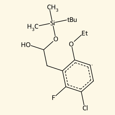 CCOc1[c]cc(Cl)c(F)c1CC(O)O[Si](C)(C)C(C)(C)C